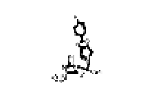 CC(O)(CN1Cc2nc(-c3ccc(F)cc3)oc2C1)Cn1cc([N+](=O)[O-])nc1Cl